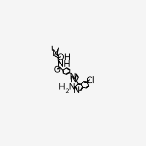 CCN(CC)CC(O)CNC(=O)c1ccc(-n2ccc(-c3c(N)ncc4ccc(Cl)cc34)n2)cc1